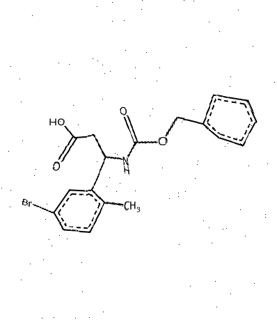 Cc1ccc(Br)cc1C(CC(=O)O)NC(=O)OCc1ccccc1